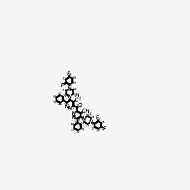 Cc1c(C(=O)c2nnc(-c3ccccc3)c(N3CCN(c4ccc(F)cc4F)CC3)c2C)nnc(-c2ccccc2)c1N1CCN(c2ccc(F)cc2F)CC1